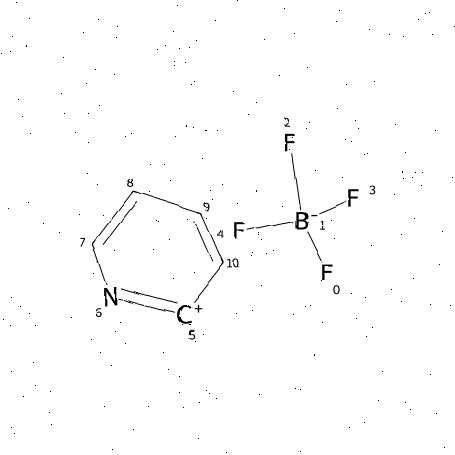 F[B-](F)(F)F.[C+]1=NC=CC=C1